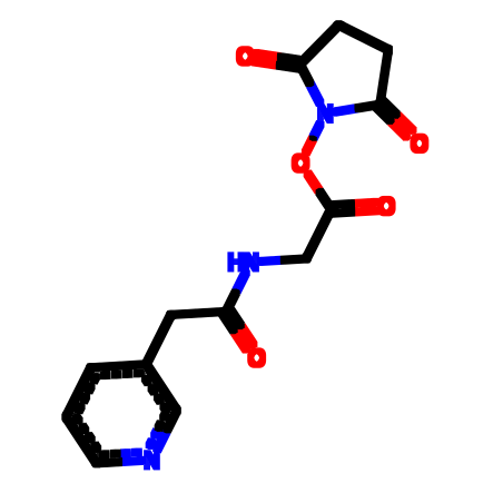 O=C(Cc1cccnc1)NCC(=O)ON1C(=O)CCC1=O